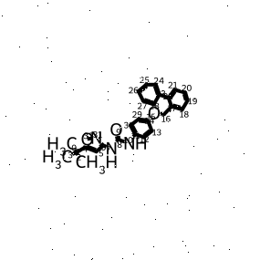 CC(C)(C)c1cc(NC(=O)Nc2ccc(OCc3ccccc3-c3ccccc3)cc2)no1